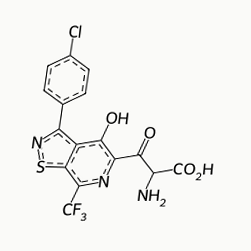 NC(C(=O)O)C(=O)c1nc(C(F)(F)F)c2snc(-c3ccc(Cl)cc3)c2c1O